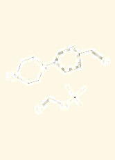 CC(C)(C)OC=O.O=Cc1ccc(N2CCNCC2)cc1